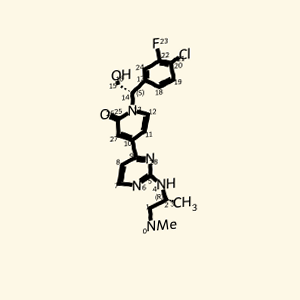 CNC[C@@H](C)Nc1nccc(-c2ccn([C@H](CO)c3ccc(Cl)c(F)c3)c(=O)c2)n1